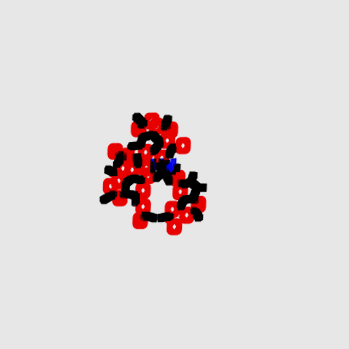 CNC(COC1OC(COC(C)=O)C(OC(C)=O)C(C)C1C)(COC1OC(COC(C)=O)C(OC(C)=O)C(OC(C)=O)C1OC(C)=O)COC1OC(COC(C)=O)C(OC(C)=O)C(OC(C)=O)C1OC(C)=O